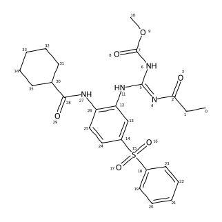 CCC(=O)N=C(NC(=O)OC)Nc1cc(S(=O)(=O)c2ccccc2)ccc1NC(=O)C1CCCCC1